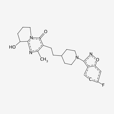 Cc1nc2n(c(=O)c1CCC1CCN(c3noc4cc(F)ccc34)CC1)CCCC2O